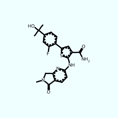 CN1Cc2nc(Nc3sc(-c4ccc(C(C)(C)O)cc4F)cc3C(N)=O)ccc2C1=O